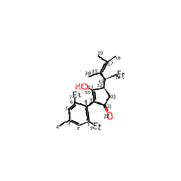 CCc1cc(C)cc(CC)c1C1=C(O)[C@@H]([C@H](CC)C(C)=C(C)C)CC1=O